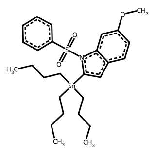 CCC[CH2][Sn]([CH2]CCC)([CH2]CCC)[c]1cc2ccc(OC)cc2n1S(=O)(=O)c1ccccc1